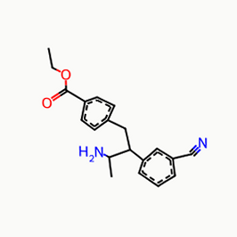 CCOC(=O)c1ccc(CC(c2cccc(C#N)c2)C(C)N)cc1